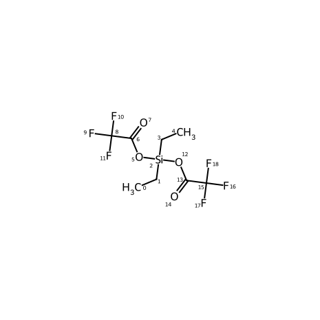 CC[Si](CC)(OC(=O)C(F)(F)F)OC(=O)C(F)(F)F